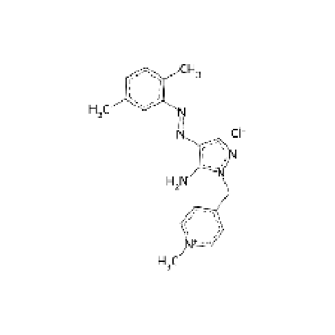 Cc1ccc(C)c(N=Nc2cnn(Cc3cc[n+](C)cc3)c2N)c1.[Cl-]